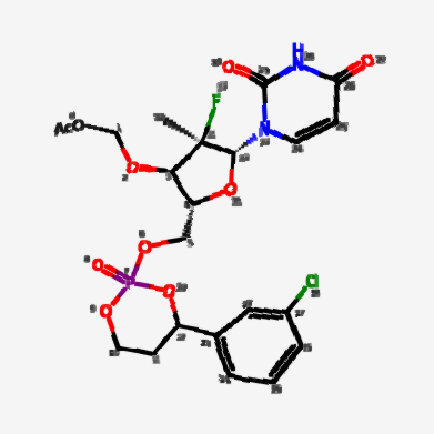 CC(=O)OCO[C@@H]1[C@@H](COP2(=O)OCCC(c3cccc(Cl)c3)O2)O[C@@H](n2ccc(=O)[nH]c2=O)[C@]1(C)F